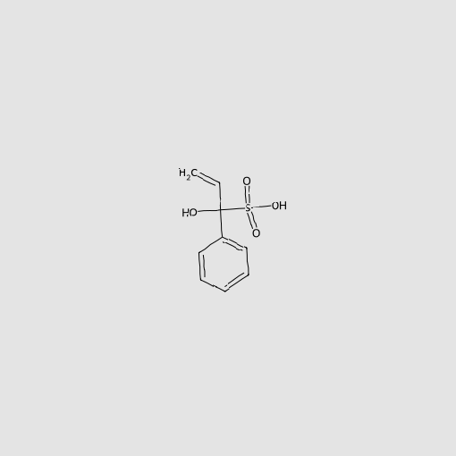 C=CC(O)(c1ccccc1)S(=O)(=O)O